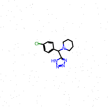 Clc1ccc(C(c2nnn[nH]2)N2CCCCC2)cc1